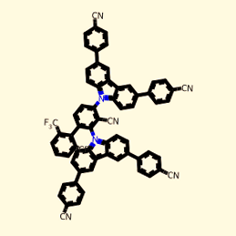 N#Cc1ccc(-c2ccc3c(c2)c2cc(-c4ccc(C#N)cc4)ccc2n3-c2ccc(-c3c(C(F)(F)F)cccc3C(F)(F)F)c(-n3c4ccc(-c5ccc(C#N)cc5)cc4c4cc(-c5ccc(C#N)cc5)ccc43)c2C#N)cc1